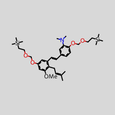 COc1cc(OCOCC[Si](C)(C)C)cc(C=Cc2ccc(OCOCC[Si](C)(C)C)c(N(C)C)c2)c1CC=C(C)C